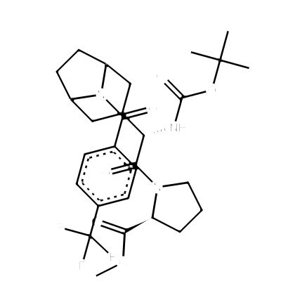 COC(=O)[C@@H]1CCCN1C(=O)[C@@H](NC(=O)OC(C)(C)C)C1CC2CCC(C1)N2C(=O)c1ccc(C(F)(F)F)cc1